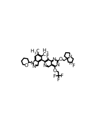 Cc1cc2c(cnn2C2CCCCO2)c(-c2ncc3c(OCC(F)(F)F)nc(OC[C@@]45CCCN4C[C@H](F)C5)nc3c2F)c1C